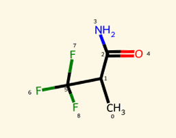 CC(C(N)=O)C(F)(F)F